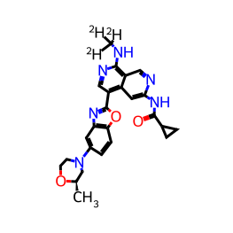 [2H]C([2H])([2H])Nc1ncc(-c2nc3cc(N4CCO[C@H](C)C4)ccc3o2)c2cc(NC(=O)C3CC3)ncc12